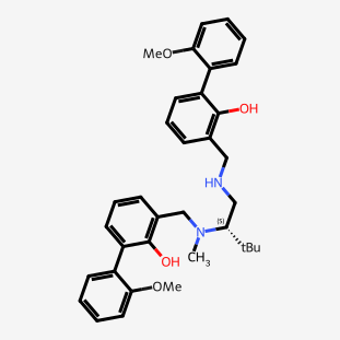 COc1ccccc1-c1cccc(CNC[C@@H](N(C)Cc2cccc(-c3ccccc3OC)c2O)C(C)(C)C)c1O